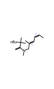 C=C(N(C)C/C(C)=C/C=C\C)C(C)(C)CCCC